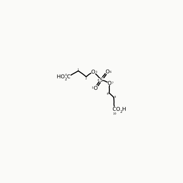 O=C(O)CCOS(=O)(=O)OCCC(=O)O